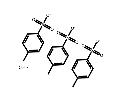 Cc1ccc(S(=O)(=O)[O-])cc1.Cc1ccc(S(=O)(=O)[O-])cc1.Cc1ccc(S(=O)(=O)[O-])cc1.[Ce+3]